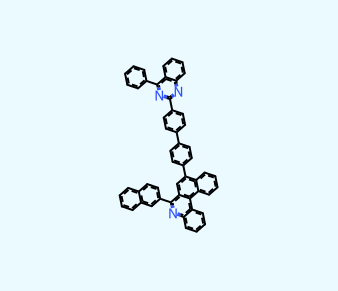 c1ccc(-c2nc(-c3ccc(-c4ccc(-c5cc6c(-c7ccc8ccccc8c7)nc7ccccc7c6c6ccccc56)cc4)cc3)nc3ccccc23)cc1